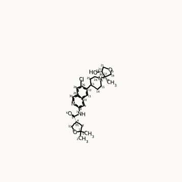 CC1(C)C[C@@H](C(=O)Nc2cc3cc(C4CCN([C@]5(C)COC[C@@H]5O)CC4)c(Cl)cc3cn2)CO1